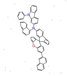 c1ccc(-n2c3ccccc3c3ccc(N(c4ccc5c(c4)C4(c6ccccc6Oc6cc(-c7ccc8ccccc8c7)ccc64)c4ccccc4-5)c4cccc5ccccc45)cc32)cc1